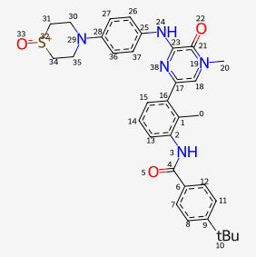 Cc1c(NC(=O)c2ccc(C(C)(C)C)cc2)cccc1-c1cn(C)c(=O)c(Nc2ccc(N3CC[S+]([O-])CC3)cc2)n1